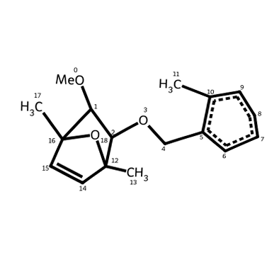 COC1C(OCc2ccccc2C)C2(C)C=CC1(C)O2